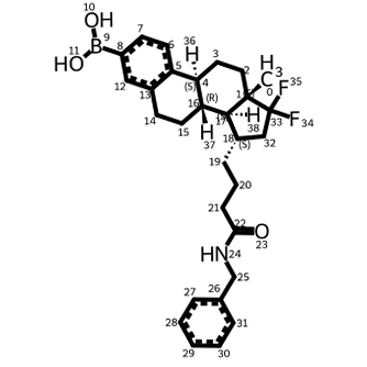 C[C@]12CC[C@@H]3c4ccc(B(O)O)cc4CC[C@H]3[C@@H]1[C@@H](CCCC(=O)NCc1ccccc1)CC2(F)F